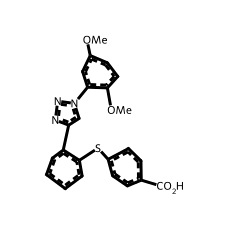 COc1ccc(OC)c(-n2cc(-c3ccccc3Sc3ccc(C(=O)O)cc3)nn2)c1